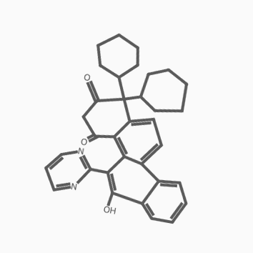 O=C1CC(=O)C(C2CCCCC2)(C2CCCCC2)c2ccc3c(c21)c(-c1ncccn1)c(O)c1ccccc13